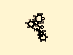 O=C(NC1CC2CCCC(C1)N2)c1c2n(c3ccccc13)CCCOC2